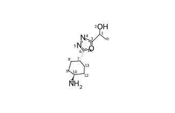 CC(O)c1nnc([C@H]2CC[C@H](N)CC2)o1